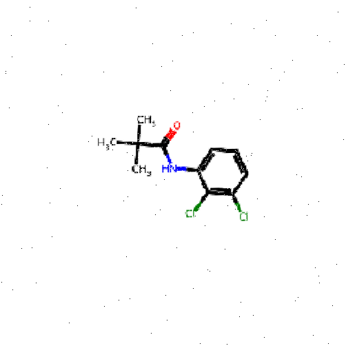 CC(C)(C)C(=O)Nc1cccc(Cl)c1Cl